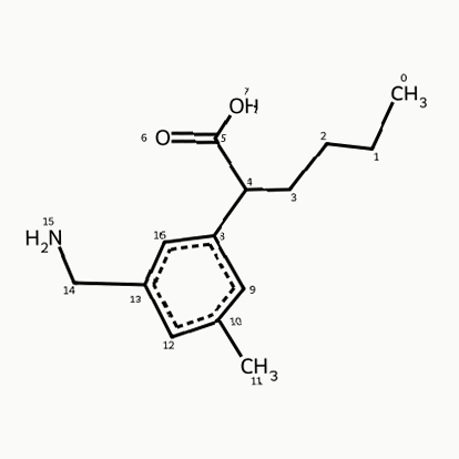 CCCCC(C(=O)O)c1cc(C)cc(CN)c1